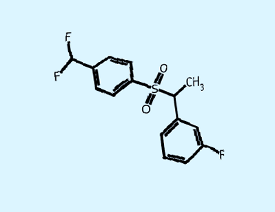 CC(c1cccc(F)c1)S(=O)(=O)c1ccc(C(F)F)cc1